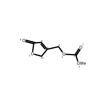 COC(=O)OCC1=CC(=O)OC1